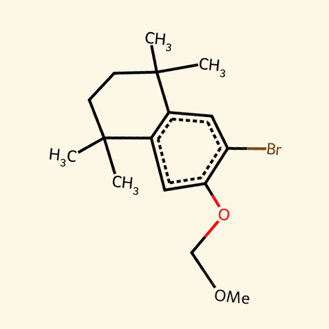 COCOc1cc2c(cc1Br)C(C)(C)CCC2(C)C